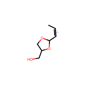 C/C=C\C1OCC(CO)O1